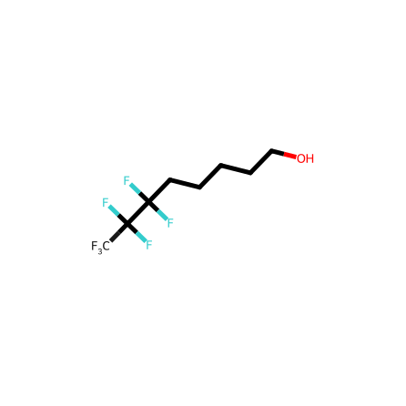 OCCCCCC(F)(F)C(F)(F)C(F)(F)F